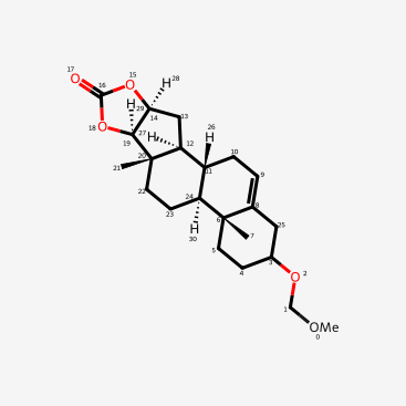 COCOC1CC[C@@]2(C)C(=CC[C@H]3[C@@H]4C[C@@H]5OC(=O)O[C@@H]5[C@@]4(C)CC[C@@H]32)C1